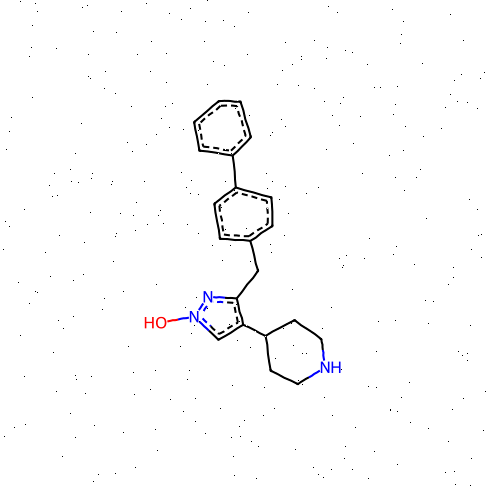 On1cc(C2CCNCC2)c(Cc2ccc(-c3ccccc3)cc2)n1